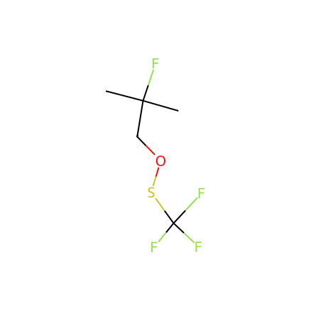 CC(C)(F)COSC(F)(F)F